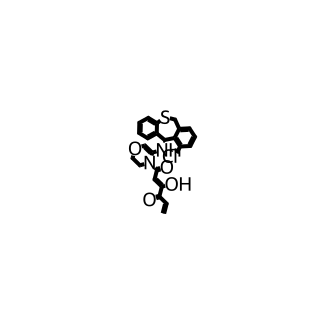 C=CC(=O)/C(O)=C/C(=O)N1CCOC=C1N[C@@H]1c2ccccc2SCc2cccc(Cl)c21